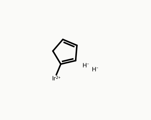 [H-].[H-].[Ir+2][C]1=CC=CC1